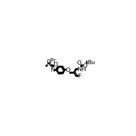 CCCN(C)c1nc2ccc(OC/C(=C/F)CNC(=O)OC(C)(C)C)cc2o1